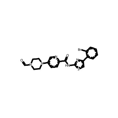 O=CN1CCN(c2ccc(C(=O)Nc3nc(-c4ccccc4Br)cs3)nc2)CC1